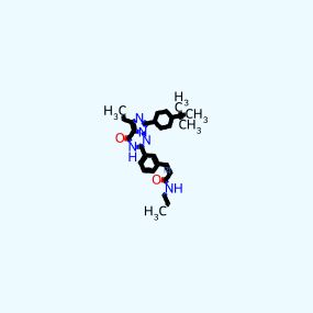 CCCNC(=O)/C=C\c1cccc(-c2nn3c(C4CCC(C(C)(C)C)CC4)nc(CC)c3c(=O)[nH]2)c1